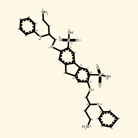 NCCC(COc1cc2c(cc1S(=O)(=O)O)-c1cc(S(=O)(=O)O)c(OCC(CCN)Sc3ccccc3)cc1C2)Sc1ccccc1